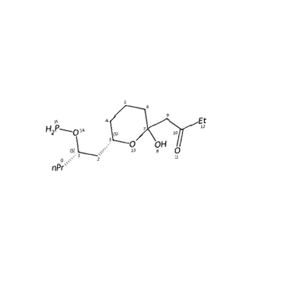 CCC[C@@H](C[C@@H]1CCCC(O)(CC(=O)CC)O1)OP